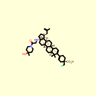 C=C(C)C[C@@H]1CC[C@]2(NCC(=O)N3CCC(C)(O)CC3)CC[C@]3(C)[C@H](CC[C@@H]4[C@@]5(C)CC=C(C6=CC[C@](CF)(C(=O)O)CC6)C(C)(C)[C@@H]5CC[C@]43C)[C@@H]12